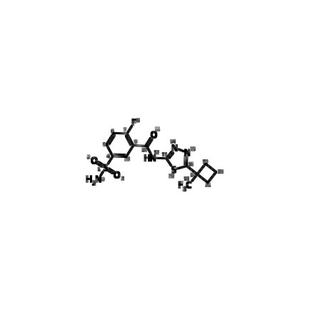 NS(=O)(=O)c1ccc(F)c(C(=O)Nc2nnc(C3(C(F)(F)F)CCC3)s2)c1